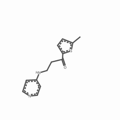 Cc1ccc(C(=O)CCNc2ccncc2)s1